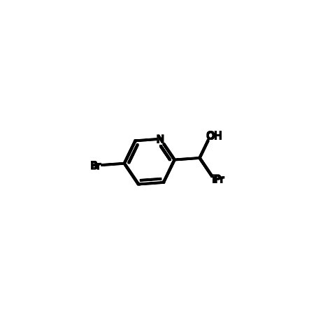 CC(C)C(O)c1ccc(Br)cn1